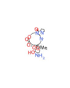 CO[C@]1(C)C[C@@H](C)CN(C)CCN(C(=O)[C@H]2CCCN2C)CCCOC(=O)C(C)(C)C(=O)[C@H](C)[C@H]1O[C@@H]1O[C@H](C)C[C@H](N)[C@H]1O